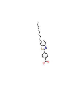 CCCCCCCCc1ccc2nc(-c3ccc(C(=O)OC)cc3)sc2c1